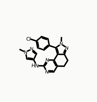 Cn1cc(Nc2ncc3c(n2)-c2c(nn(C)c2-c2ccc(Cl)cc2)CC3)cn1